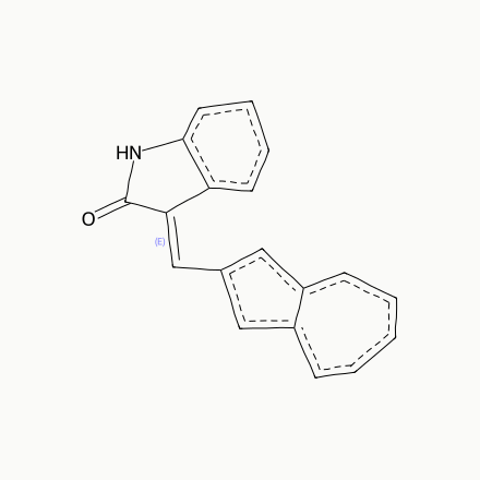 O=C1Nc2ccccc2/C1=C\c1cc2cccccc-2c1